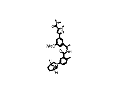 COc1cc(-c2cc(C(=O)N(C)C)n(C)n2)cc([C@@H](C)NC(=O)c2cc(N3C[C@H]4CC[C@@H](C3)N4)ccc2C)c1